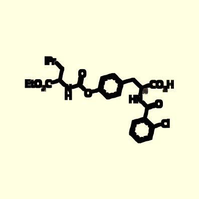 CCOC(=O)C(CC(C)C)NC(=O)Oc1ccc(C[C@H](NC(=O)c2ccccc2Cl)C(=O)O)cc1